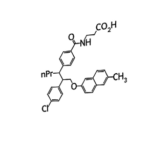 CCCC(c1ccc(C(=O)NCCC(=O)O)cc1)C(COc1ccc2cc(C)ccc2c1)c1ccc(Cl)cc1